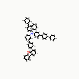 c1ccc(-c2ccc(-c3ccc(N(c4cccc(-c5ccc(-c6cccc7c6oc6ccccc67)cc5)c4)c4ccc(-c5ccccc5)c5ccccc45)cc3)cc2)cc1